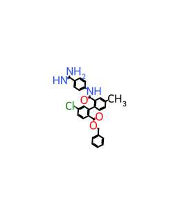 Cc1ccc(-c2cc(Cl)ccc2C(=O)OCc2ccccc2)c(C(=O)Nc2ccc(C(=N)N)cc2)c1